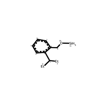 CCC(CC)c1ccccc1CO[SiH3]